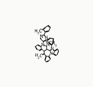 C=C1c2ccccc2N2c3ccccc3N(c3ccccc3)C2C2C1c1ccccc1N1c3cnc(-c4ccccc4C)nc3N(C)C21